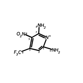 Nc1cc(C(F)(F)F)c([N+](=O)[O-])c(N)n1